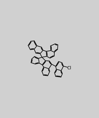 Clc1ccc(-c2cc3c(c4ccccc24)-c2ccccc2C32c3cc4ccccc4cc3-c3c2ccc2ccccc32)c2ccccc12